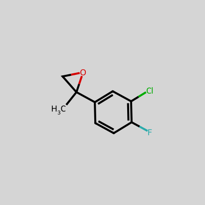 CC1(c2ccc(F)c(Cl)c2)CO1